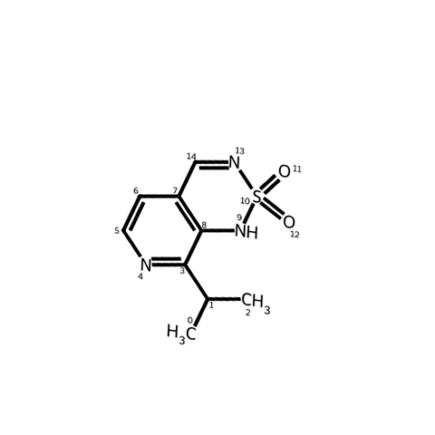 CC(C)c1nccc2c1NS(=O)(=O)N=C2